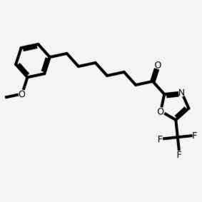 COc1cccc(CCCCCCC(=O)c2ncc(C(F)(F)F)o2)c1